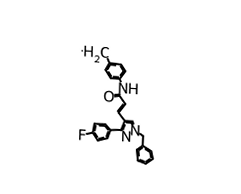 [CH2]c1ccc(NC(=O)/C=C/c2cn(Cc3ccccc3)nc2-c2ccc(F)cc2)cc1